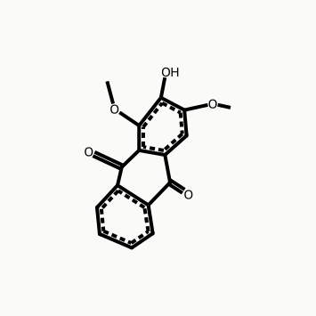 COc1cc2c(c(OC)c1O)C(=O)c1ccccc1C2=O